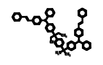 CCC(CC)(c1ccc(N(c2ccccc2)c2ccc(/C=C/c3ccccc3)cc2)cc1)c1ccc(C(C)(N)c2ccc(N(c3ccccc3)c3ccc(/C=C/c4ccccc4)cc3)cc2)cc1